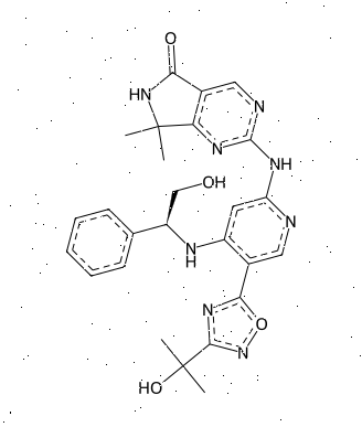 CC(C)(O)c1noc(-c2cnc(Nc3ncc4c(n3)C(C)(C)NC4=O)cc2N[C@H](CO)c2ccccc2)n1